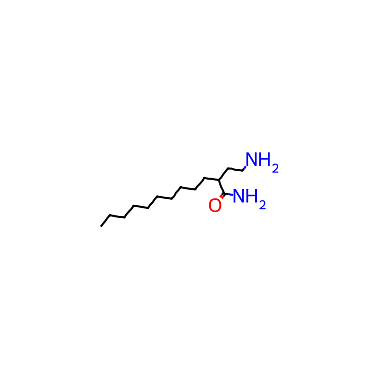 CCCCCCCCCCC(CCN)C(N)=O